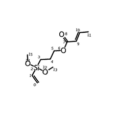 C=C[Si](CCCOC(=O)C=CC)(OC)OC